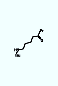 CC(C)C(=O)CCCCNC(C)(C)C